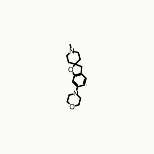 CN1CCC2(CC1)Cc1c[c]c(N3CCOCC3)cc1O2